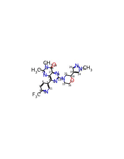 Cc1nc2c(-c3ccc(C(F)(F)F)nc3)nc(N3CCOC(c4cnn(C)c4)C3)nc2c(=O)n1C